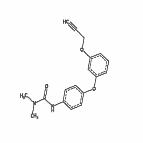 C#CCOc1cccc(Oc2ccc(NC(=O)N(C)C)cc2)c1